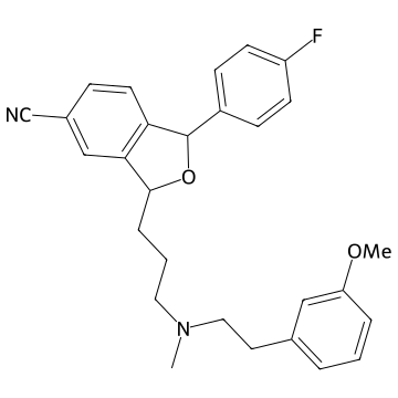 COc1cccc(CCN(C)CCCC2OC(c3ccc(F)cc3)c3ccc(C#N)cc32)c1